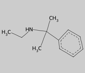 CCNC(C)(C)c1ccccc1